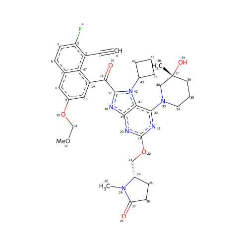 C#Cc1c(F)ccc2cc(OCOC)cc(C(=O)c3nc4nc(OC[C@@H]5CCC(=O)N5C)nc(N5CCC[C@@](C)(O)C5)c4n3C3CCC3)c12